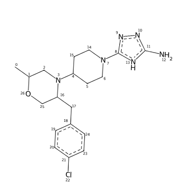 CC1CN(C2CCN(c3nnc(N)[nH]3)CC2)C(Cc2ccc(Cl)cc2)CO1